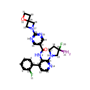 O=C(Nc1c(-c2ccccc2F)ccnc1N1CCC(F)(P)C1)c1cnc(N2CC3(CCO3)C2)nc1